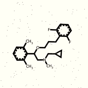 Cc1cccc(C)c1C(CN(C)CC1CC1)OCCCc1c(F)cccc1F